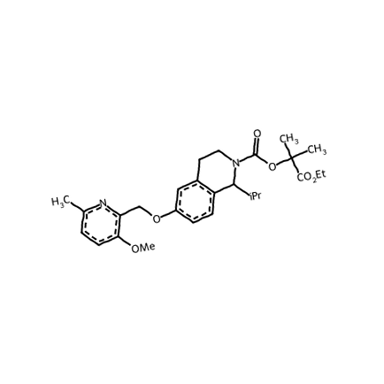 CCOC(=O)C(C)(C)OC(=O)N1CCc2cc(OCc3nc(C)ccc3OC)ccc2C1C(C)C